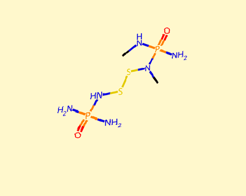 CNP(N)(=O)N(C)SSNP(N)(N)=O